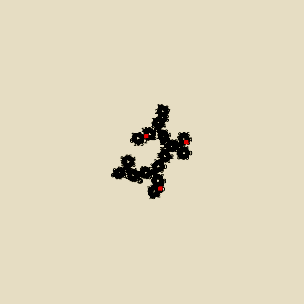 c1ccc(-c2ccc(N(c3ccc4c(c3)Cc3ccccc3-4)c3ccc4c(c3)sc3c(-c5ccc(-c6ccc(N(c7ccc8c(c7)sc7ccc(N(c9ccccc9)c9ccccc9)cc78)c7ccc8sc9ccccc9c8c7)cc6)cc5)cc(N(c5ccccc5)c5ccccc5)cc34)cc2)cc1